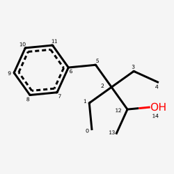 CCC(CC)(Cc1ccccc1)C(C)O